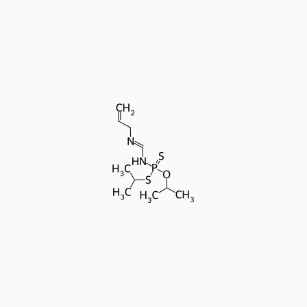 C=CCN=CNP(=S)(OC(C)C)SC(C)C